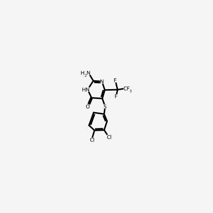 Nc1nc(C(F)(F)C(F)(F)F)c(Sc2ccc(Cl)c(Cl)c2)c(=O)[nH]1